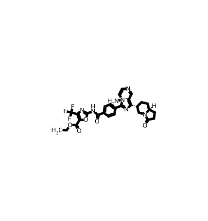 CCOC(=O)c1oc(NC(=O)c2ccc(C3=NC([C@@H]4CC[C@H]5CCC(=O)N5C4)=C4C=NC=C[N+]34N)cc2)nc1C(F)(F)F